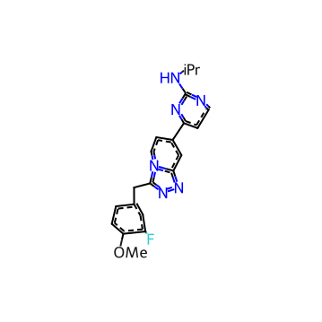 COc1ccc(Cc2nnc3cc(-c4ccnc(NC(C)C)n4)ccn23)cc1F